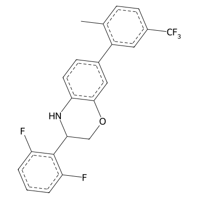 Cc1ccc(C(F)(F)F)cc1-c1ccc2c(c1)OCC(c1c(F)cccc1F)N2